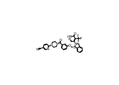 N#Cc1ccc(N2CCN(C(=O)c3cccc(OC[C@@H]4c5ccccc5CN4c4cn[nH]c(=O)c4C(F)(F)F)c3)CC2)nc1